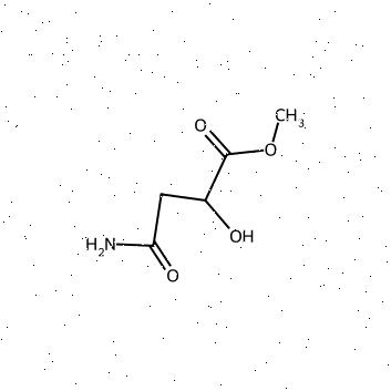 COC(=O)C(O)CC(N)=O